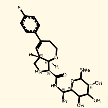 CSC1O[C@H]([C@H](NC(=O)[C@H]2NC[C@@H]3C=C(c4ccc(F)cc4)CCO[C@@H]23)C(C)C)C(O)C(O)[C@H]1O